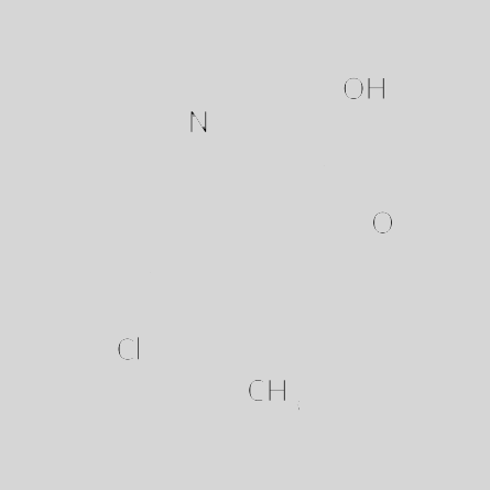 CCc1c(Cl)ccnc1C(=O)O